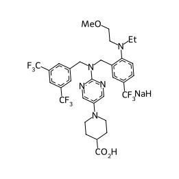 CCN(CCOC)c1ccc(C(F)(F)F)cc1CN(Cc1cc(C(F)(F)F)cc(C(F)(F)F)c1)c1ncc(N2CCC(C(=O)O)CC2)cn1.[NaH]